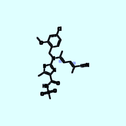 COc1cc(Cl)ccc1CN(/C(C)=C/C=C(\C)C#N)c1nc(C(=O)NS(C)(=O)=O)c(C)s1